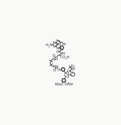 CCC(C)(C)C(=O)C(=O)N1CCCC[C@H]1C(=O)O[C@H](CCc1ccc(OC)c(OC)c1)c1cccc(OCC(=O)NCC(C)(C)CC(C)(C)CNC(=O)CC[C@H](NC(=O)c2ccc(N(C)Cc3cnc4nc(N)nc(N)c4n3)cc2)C(=O)O)c1